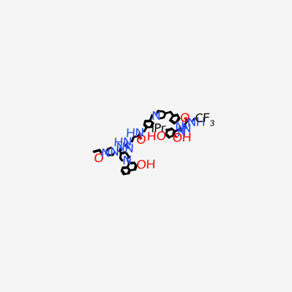 C=CC(=O)N1CCN(c2nc(NCCC(=O)NCc3ccc(CN4CCC(Cc5ccc(-n6c(C(=O)NCC(F)(F)F)nnc6-c6cc(C(C)C)c(O)cc6O)cc5)CC4)cc3)nc3c2CCN(c2cc(O)cc4ccccc24)C3)CC1